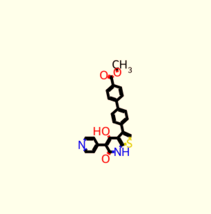 COC(=O)c1ccc(-c2ccc(-c3csc4[nH]c(=O)c(-c5ccncc5)c(O)c34)cc2)cc1